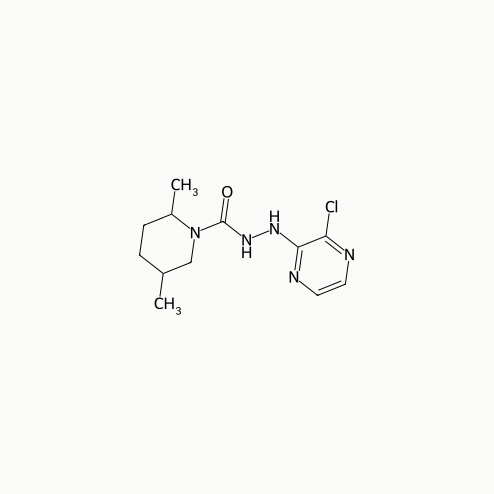 CC1CCC(C)N(C(=O)NNc2nccnc2Cl)C1